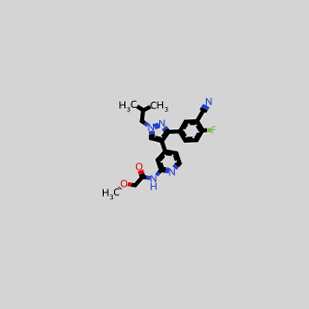 COCC(=O)Nc1cc(-c2cn(CC(C)C)nc2-c2ccc(F)c(C#N)c2)ccn1